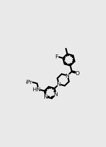 Cc1ccc(C(=O)N2CCN(c3cc(NCC(C)C)ncn3)CC2)cc1F